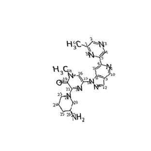 Cc1cncc(-c2cc3c(cn2)cnn3-c2cn(C)c(=O)c(N3CCC[C@H](N)C3)n2)n1